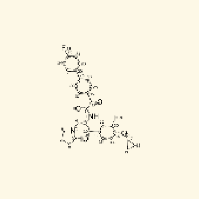 O=C(NC(CN1CCCC1)C(O)c1ccc(OC2CC2)c(F)c1)C(=O)c1ccc(-c2ccc(F)cc2)cc1